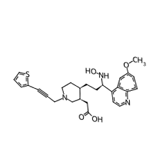 COc1ccc2nccc([C@@H](CC[C@@H]3CCN(CC#Cc4cccs4)C[C@@H]3CC(=O)O)NO)c2c1